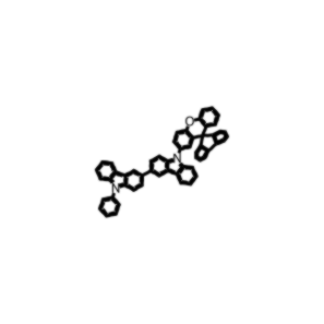 c1ccc(-n2c3ccccc3c3cc(-c4ccc5c(c4)c4ccccc4n5-c4ccc5c(c4)C4(c6ccccc6O5)c5ccccc5-c5ccccc54)ccc32)cc1